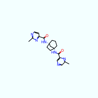 Cc1cncc(C(=O)N[C@]23CCC[C@](NC(=O)c4ccnc(C)n4)(CC2)C3)n1